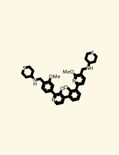 COc1cc(-c2nccc(-c3cccc(-c4ccc(CNC5CCSCC5)c(OC)n4)c3Cl)c2Cl)ccc1CNC1CCSCC1